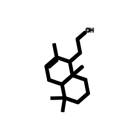 CC1=CCC2C(C)(C)CCCC2(C)C1CCO